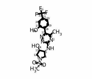 Cc1nc(N[C@@H]2CN(S(C)(=O)=O)C[C@H]2O)nnc1-c1ccc(C(F)(F)F)cc1O